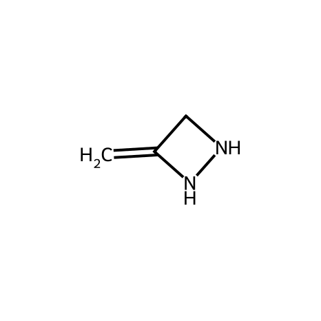 C=C1CNN1